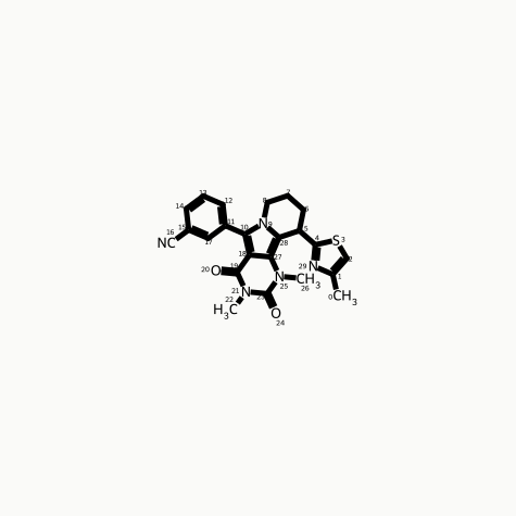 Cc1csc(C2CCCn3c(-c4cccc(C#N)c4)c4c(=O)n(C)c(=O)n(C)c4c32)n1